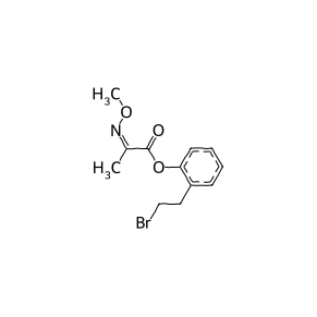 CO/N=C(/C)C(=O)Oc1ccccc1CCBr